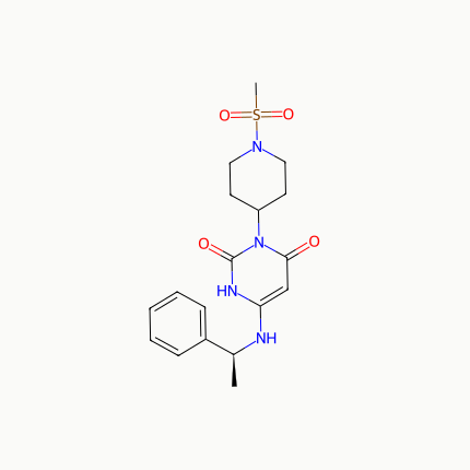 C[C@H](Nc1cc(=O)n(C2CCN(S(C)(=O)=O)CC2)c(=O)[nH]1)c1ccccc1